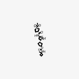 CC1(NC(=O)O[C@@H]2CC[C@H](c3cc(NC(=O)[C@@H]4CCN(S(C)(=O)=O)C4)n[nH]3)C2)CCC1